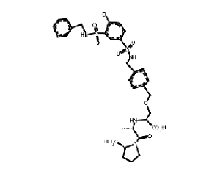 CCOC(=O)C(COCc1ccc(CNS(=O)(=O)c2ccc(Cl)c(S(=O)(=O)NCc3ccccc3)c2)cc1)N[C@@H](C)C(=O)N1CCC[C@H]1C(=O)O